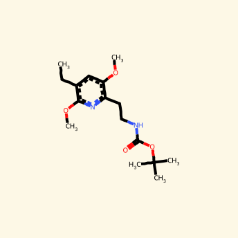 CCc1cc(OC)c(CCNC(=O)OC(C)(C)C)nc1OC